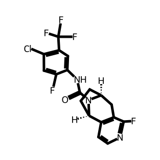 O=C(Nc1cc(C(F)(F)F)c(Cl)cc1F)N1[C@H]2CC[C@@H]1c1ccnc(F)c1C2